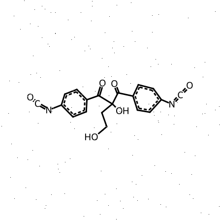 O=C=Nc1ccc(C(=O)C(O)(CCO)C(=O)c2ccc(N=C=O)cc2)cc1